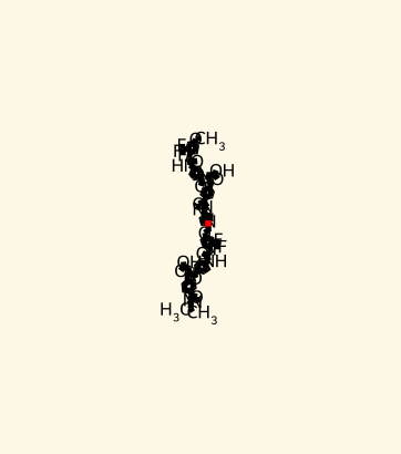 COc1ccc(CC(=O)Nc2ccc(C(=O)N(CC(=O)O)Cc3ccc(-c4nc(-c5ccc(COc6ccc(CC(=O)Nc7ccc(C(=O)N(CC(=O)O)Cc8ccc(-c9nc(C(C)C)no9)cc8)cc7)c(C(F)(F)F)c6)nc5)no4)cc3)cc2)c(C(F)(F)F)c1